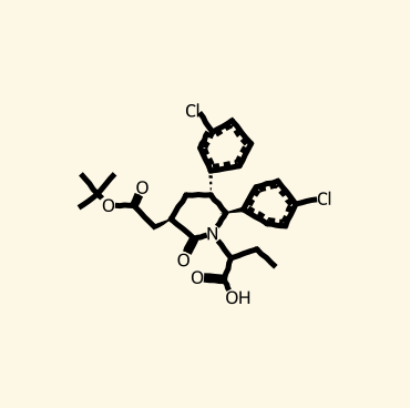 CCC(C(=O)O)N1C(=O)[C@@H](CC(=O)OC(C)(C)C)C[C@H](c2cccc(Cl)c2)[C@H]1c1ccc(Cl)cc1